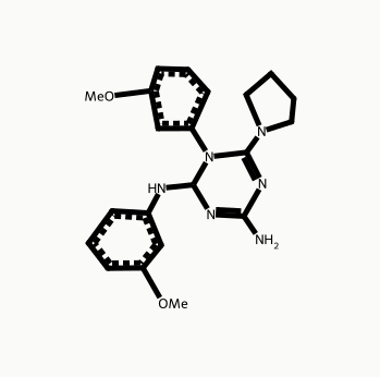 COc1cccc(NC2N=C(N)N=C(N3CCCC3)N2c2cccc(OC)c2)c1